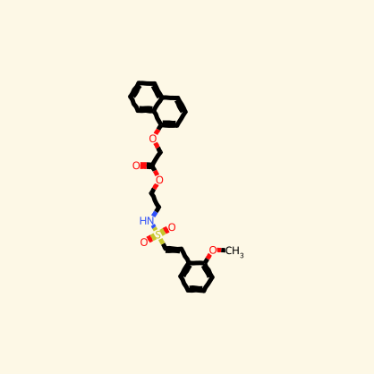 COc1ccccc1C=CS(=O)(=O)NCCOC(=O)COc1cccc2ccccc12